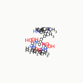 C/N=C1\C=CC2=C(c3cc(-c4ccc5c(CN(CCCNC(=O)C(C)(C)C)Cc6ccccc6B(O)O)c6ccccc6c(CN(CCCNC(=O)C(C)(C)C)Cc6ccccc6B(O)O)c5c4)ccc3C)c3ccc(NC)cc3[Si](C)(C)C2=C1